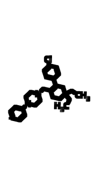 CCC1(CC)CCC(CN2CCN(c3cc[c]cc3)CC2)=C(c2ccc(Cl)cc2)C1